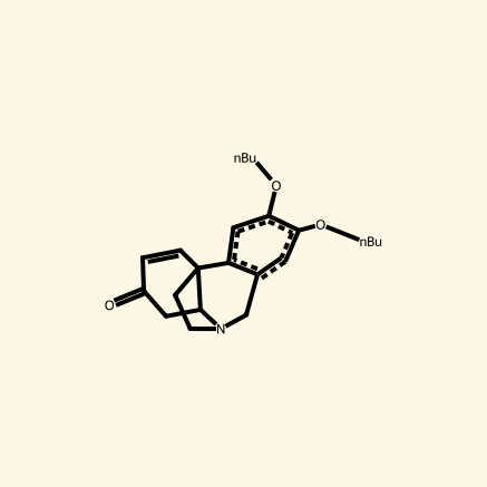 CCCCOc1cc2c(cc1OCCCC)C13C=CC(=O)CC1N(CC3)C2